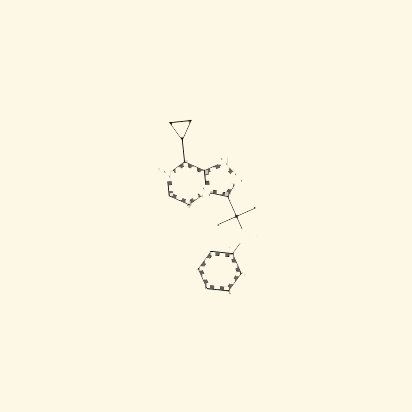 CC(C)(Oc1ccccc1)c1nnc2c(C3CC3)nccn12